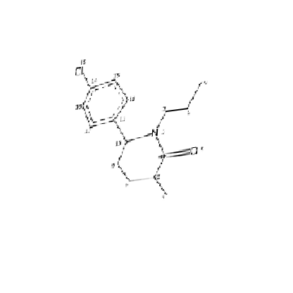 CCCN1C(=O)C(C)CCC1c1ccc(Cl)cc1